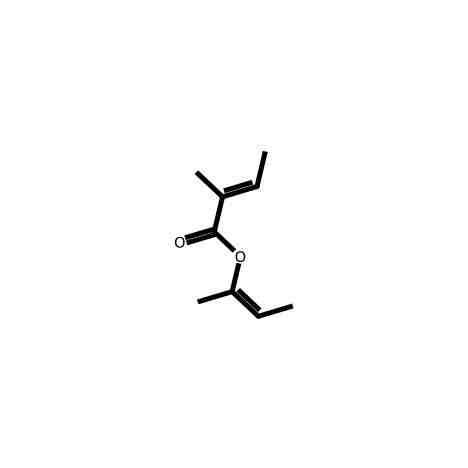 CC=C(C)OC(=O)C(C)=CC